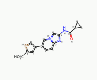 O=C(O)c1cc(-c2ccc3nc(NC(=O)C4CC4)cn3c2)cs1